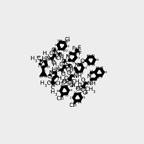 CC(C)(C(=O)Nc1cc2ccccc2cn1)S(=O)(=O)c1ccc(Cl)cc1.CC(C)(C(=O)Nc1ccc(Oc2ccccc2)nc1)S(=O)(=O)c1ccc(Cl)cc1.CC(C)(C)c1cc(NC(=O)C(C)(C)S(=O)(=O)c2ccc(C(F)(F)F)cn2)no1.Cn1nc(C2CC2)cc1NC(=O)C(C)(C)S(=O)(=O)c1ccc(Cl)cc1